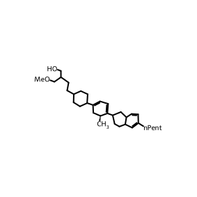 CCCCCC1=CC2CCC(C3=CC=C(C4CCC(CCC(CO)COC)CC4)C[C@@H]3C)CC2C=C1